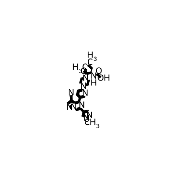 CC(C)C[C@@H](NC(=O)O)C(=O)N1CCN(c2ccc(-c3nc(-c4cnn(C)c4)cn4ncc(C#N)c34)cn2)CC1